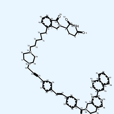 O=C1CCC(N2Cc3c(CCCCCCN4CCN(CC#Cc5ccc(/C=C/c6ccc(C(=O)N7CCc8cnc(-c9cnc%10ccccc%10c9)nc8C7)cc6)cc5)CC4)cccc3C2=O)C(=O)N1